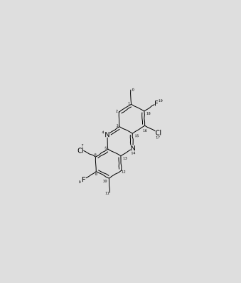 Cc1cc2nc3c(Cl)c(F)c(C)cc3nc2c(Cl)c1F